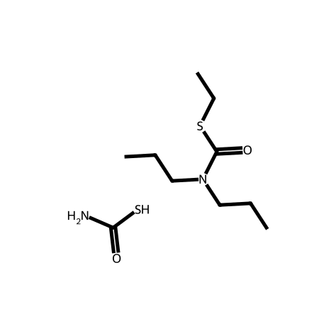 CCCN(CCC)C(=O)SCC.NC(=O)S